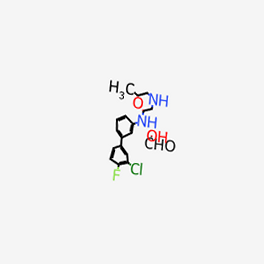 CC1CNCC(Nc2cccc(-c3ccc(F)c(Cl)c3)c2)O1.O=CO